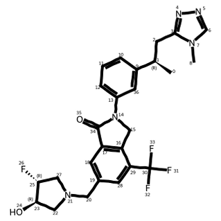 C[C@H](Cc1nncn1C)c1cccc(N2Cc3c(cc(CN4C[C@@H](O)[C@H](F)C4)cc3C(F)(F)F)C2=O)c1